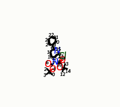 CC(C)(C)OC(=O)N(C(=O)OC(C)(C)C)c1ccc(-c2ccccc2)nc1Cl